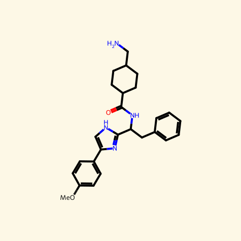 COc1ccc(-c2c[nH]c(C(Cc3ccccc3)NC(=O)C3CCC(CN)CC3)n2)cc1